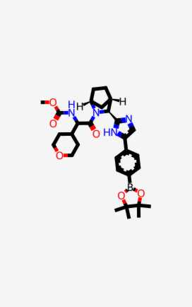 COC(=O)NC(C(=O)N1[C@@H]2CC[C@@H](C2)[C@H]1c1ncc(-c2ccc(B3OC(C)(C)C(C)(C)O3)cc2)[nH]1)C1CCOCC1